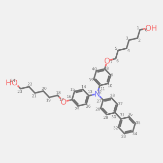 OCCCCCCOc1ccc(N(c2ccc(OCCCCCCO)cc2)c2ccc(-c3ccccc3)cc2)cc1